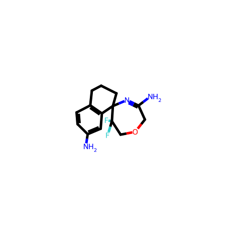 NC1=NC2(CCCc3ccc(N)cc32)C(F)(F)COC1